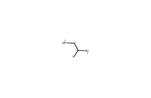 [CH2]C(CCCC)C(C)=O